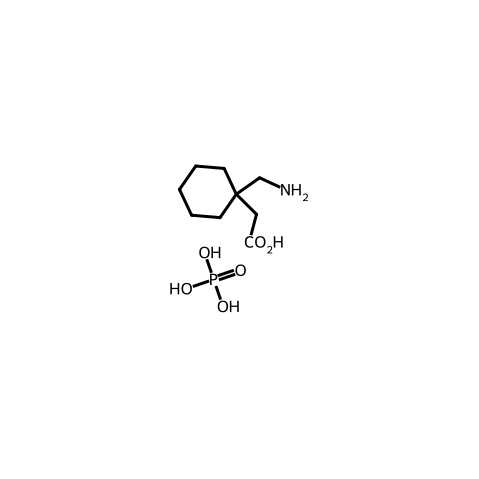 NCC1(CC(=O)O)CCCCC1.O=P(O)(O)O